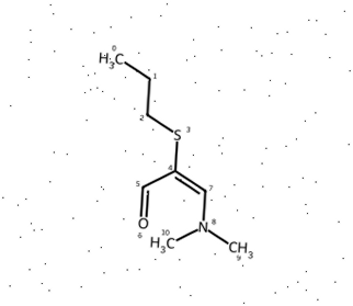 CCCSC(C=O)=CN(C)C